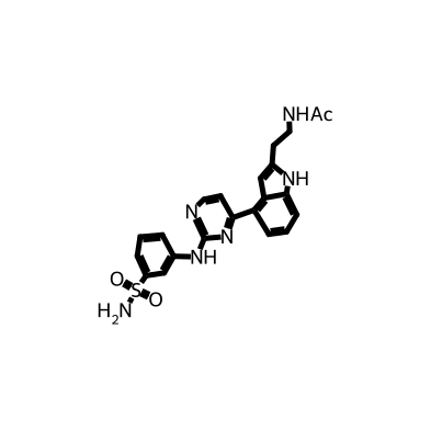 CC(=O)NCCc1cc2c(-c3ccnc(Nc4cccc(S(N)(=O)=O)c4)n3)cccc2[nH]1